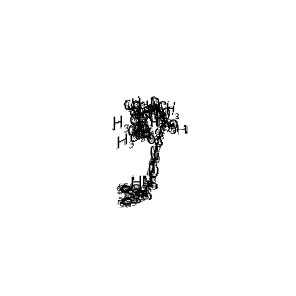 CCC(=O)OC(CC)(C(=O)COCNC(=O)[C@H](C)NC(=O)[C@H](CCC(=O)O)NC(=O)CCOCCOCCOCCOCCNC(=O)CCN1C(=O)C(Sc2ccccc2)=C(Sc2ccccc2)C1=O)[C@@H](C)CC1CC[C@H](O)[C@@]2(Cl)[C@H]1CCC1=CC(=O)C=C[C@@]12C